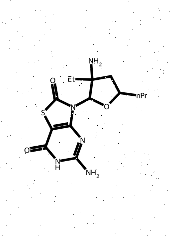 CCCC1CC(N)(CC)C(n2c(=O)sc3c(=O)[nH]c(N)nc32)O1